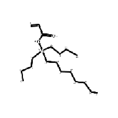 C=CC(=O)O[Si](CCCC)(CCCC)CCCCCCCC